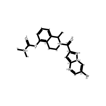 CC1c2cccc(OC(=O)N(C)C)c2CCN1C(=O)c1cc2ncc(Br)cn2n1